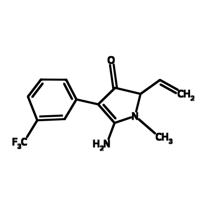 C=CC1C(=O)C(c2cccc(C(F)(F)F)c2)=C(N)N1C